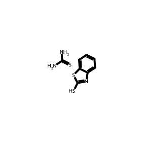 NC(N)=S.Sc1nc2ccccc2s1